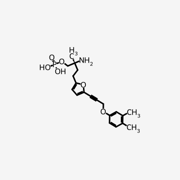 Cc1ccc(OCC#Cc2ccc(CC[C@@](C)(N)COP(=O)(O)O)o2)cc1C